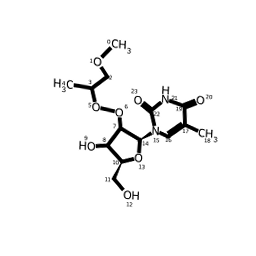 COCC(C)OOC1C(O)[C@H](CO)O[C@@H]1n1cc(C)c(=O)[nH]c1=O